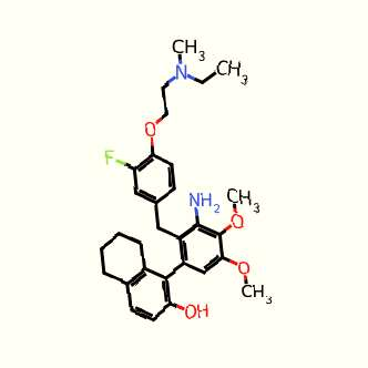 CCN(C)CCOc1ccc(Cc2c(-c3c(O)ccc4c3CCCC4)cc(OC)c(OC)c2N)cc1F